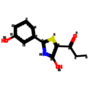 CCC(=O)c1sc(-c2cccc(O)c2)nc1O